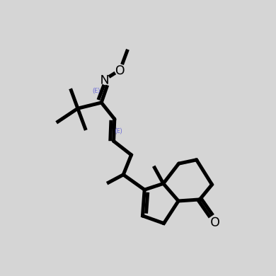 CO/N=C(\C=C\CC(C)C1=CCC2C(=O)CCCC12C)C(C)(C)C